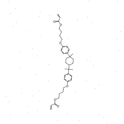 C=CC(=O)OCCCCOc1ccc(C2(C)CCC(C(C)(C)c3ccc(OCCCCOC(=O)C=C)cc3)CC2)cc1